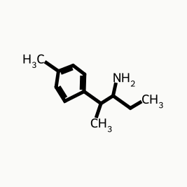 CCC(N)C(C)c1ccc(C)cc1